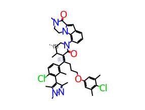 Cc1cc(OCCC/C(=C2\C(=O)N(c3cccc4cc5n(c34)CCN(C)C5=O)C[C@@H](C)C2C)c2ccc(Cl)c(-c3c(C)nn(C)c3C)c2C)cc(C)c1Cl